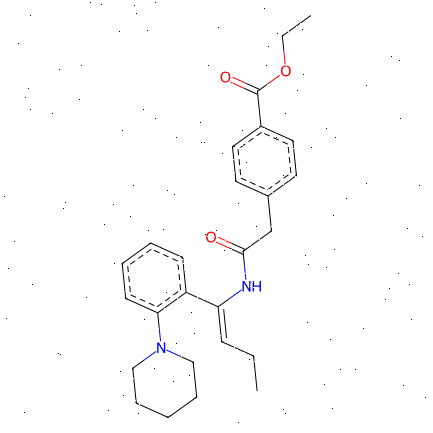 CCC=C(NC(=O)Cc1ccc(C(=O)OCC)cc1)c1ccccc1N1CCCCC1